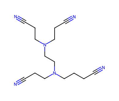 N#CCCCN(CCC#N)CCN(CCC#N)CCC#N